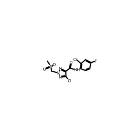 CS(=O)(=O)Cn1nc(Cl)c(C(=O)Nc2ccc(F)cc2Cl)n1